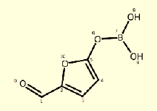 O=Cc1ccc(OB(O)O)o1